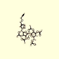 C#CCOCc1cn(C[C@H]2O[C@@](CCl)(O[C@H]3O[C@H](COC(C)=O)C[C@H](OC(C)=O)[C@H]3OC(C)=O)[C@@H](OC(C)=O)[C@@H]2OC(C)=O)nn1